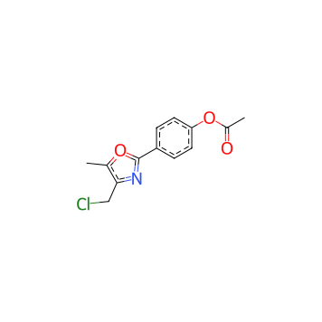 CC(=O)Oc1ccc(-c2nc(CCl)c(C)o2)cc1